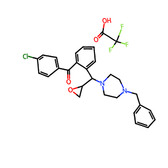 O=C(O)C(F)(F)F.O=C(c1ccc(Cl)cc1)c1ccccc1C(C1CO1)N1CCN(Cc2ccccc2)CC1